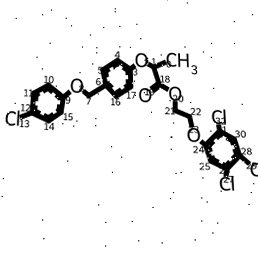 CC(Oc1ccc(COc2ccc(Cl)cc2)cc1)C(=O)OCCOc1cc(Cl)c(Cl)cc1Cl